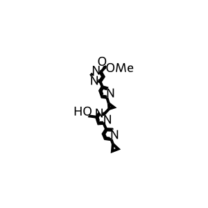 COC(=O)c1cc(-c2ccc(C3CC3c3nc(CO)cc(-c4ccc(C5CC5)nc4)n3)nc2)ncn1